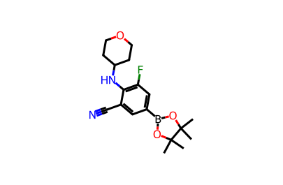 CC1(C)OB(c2cc(F)c(NC3CCOCC3)c(C#N)c2)OC1(C)C